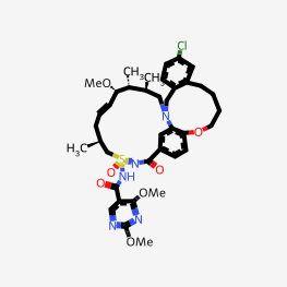 COc1ncc(C(=O)NS2(=O)=NC(=O)c3ccc4c(c3)N(Cc3ccc(Cl)cc3CCCCO4)C[C@H](C)[C@@H](C)[C@@H](OC)/C=C/C[C@H](C)C2)c(OC)n1